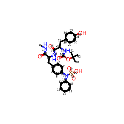 CNC(=O)C(Cc1ccc(N(c2ccccc2)S(=O)(=O)O)cc1)NC(=O)C(Cc1ccc(O)cc1)NC(=O)OC(C)(C)C